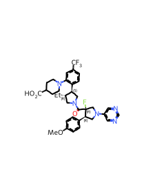 CC[C@H]1CN(C(=O)[C@]2(F)CN(c3cncnc3)C[C@H]2c2ccc(OC)cc2)C[C@@H]1c1ccc(C(F)(F)F)cc1N1CCC(C(=O)O)CC1